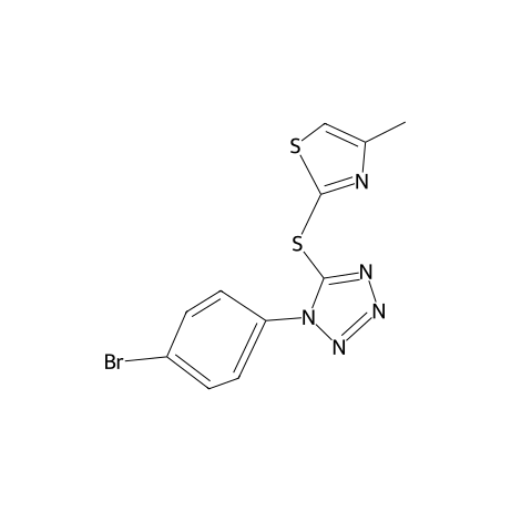 Cc1csc(Sc2nnnn2-c2ccc(Br)cc2)n1